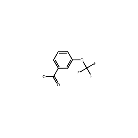 [O]C(=O)c1cccc(OC(F)(F)F)c1